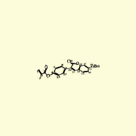 C=C(C)C(=O)Oc1ccc(-c2cc3ccc(CCCC)cc3oc2=O)cc1